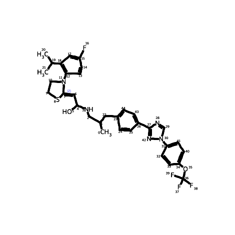 CC(CNC(O)/C=C1\SCCN1c1ccc(F)cc1C(C)C)Cc1ccc(-c2ncn(-c3ccc(OC(F)(F)F)cc3)n2)cc1